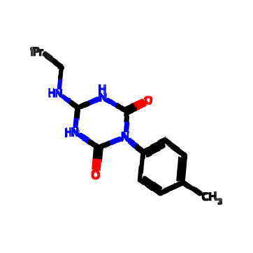 Cc1ccc(N2C(=O)NC(NCC(C)C)NC2=O)cc1